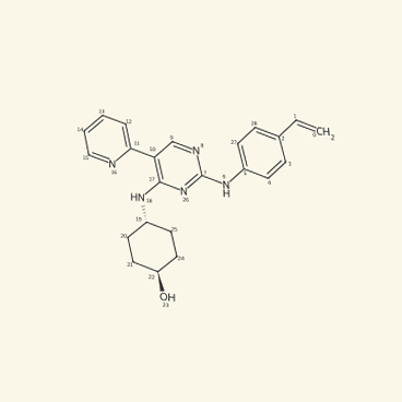 C=Cc1ccc(Nc2ncc(-c3ccccn3)c(N[C@H]3CC[C@H](O)CC3)n2)cc1